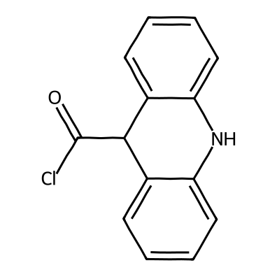 O=C(Cl)C1c2ccccc2Nc2ccccc21